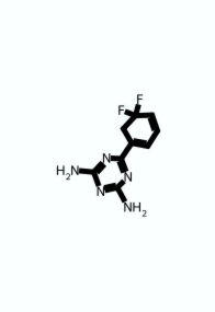 Nc1nc(N)nc(C2=CC=CC(F)(F)C2)n1